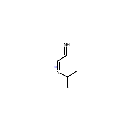 CC(C)/N=C\C=N